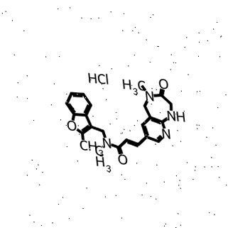 Cc1oc2ccccc2c1CN(C)C(=O)C=Cc1cnc2c(c1)CN(C)C(=O)CN2.Cl